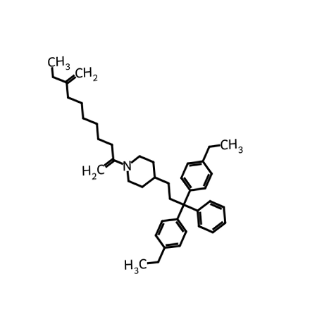 C=C(CC)CCCCCCC(=C)N1CCC(CCC(c2ccccc2)(c2ccc(CC)cc2)c2ccc(CC)cc2)CC1